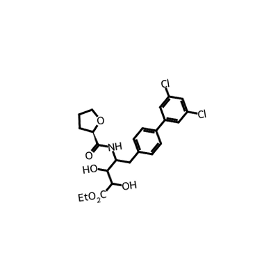 CCOC(=O)C(O)C(O)C(Cc1ccc(-c2cc(Cl)cc(Cl)c2)cc1)NC(=O)[C@H]1CCCO1